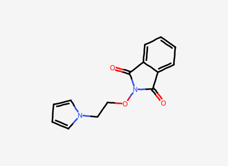 O=C1c2ccccc2C(=O)N1OCCn1cccc1